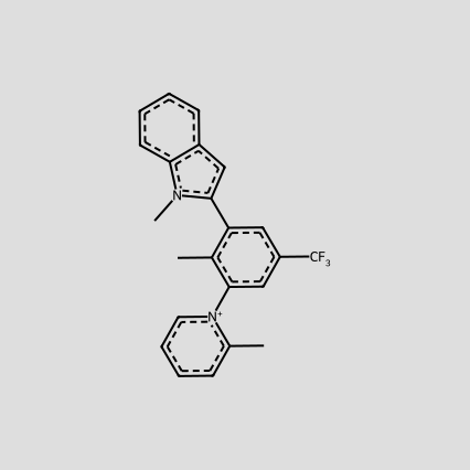 Cc1c(-c2cc3ccccc3n2C)cc(C(F)(F)F)cc1-[n+]1ccccc1C